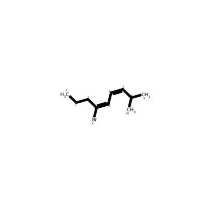 CCC/C(Br)=C\C=C/C(C)C